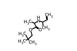 C=CC(C)NC(C)C(=O)OCC(C)(C)C